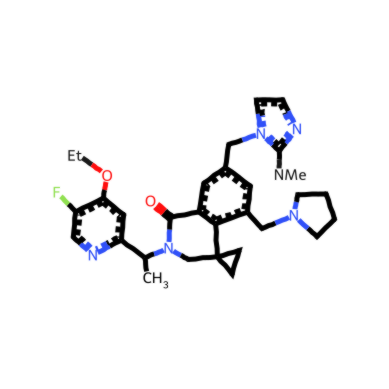 CCOc1cc(C(C)N2CC3(CC3)c3c(CN4CCCC4)cc(Cn4ccnc4NC)cc3C2=O)ncc1F